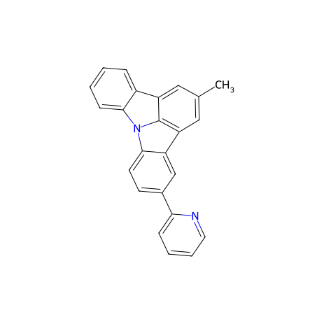 Cc1cc2c3ccccc3n3c4ccc(-c5ccccn5)cc4c(c1)c23